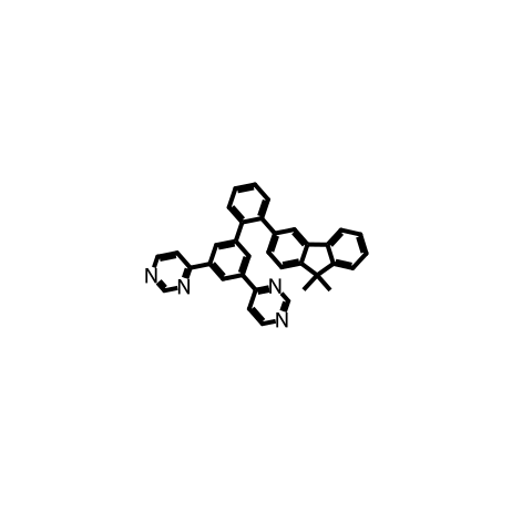 CC1(C)c2ccccc2-c2cc(-c3ccccc3-c3cc(-c4ccncn4)cc(-c4ccncn4)c3)ccc21